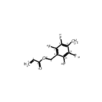 C=CC(=O)OCc1c(F)c(F)c(C)c(F)c1F